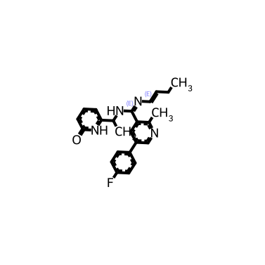 CC/C=C/N=C(/NC(C)c1cccc(=O)[nH]1)c1cc(-c2ccc(F)cc2)cnc1C